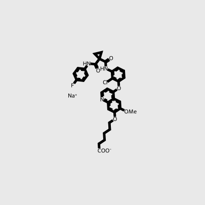 COc1cc2c(Oc3cccc(NC(=O)C4(C(=O)Nc5ccc(F)cc5)CC4)c3Cl)ccnc2cc1OCCCCCC(=O)[O-].[Na+]